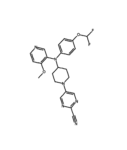 COc1ccncc1N(c1ccc(OC(F)F)cc1)C1CCN(c2cnc(C#N)nc2)CC1